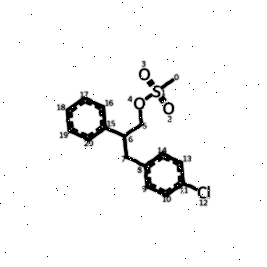 CS(=O)(=O)OCC(Cc1ccc(Cl)cc1)c1ccccc1